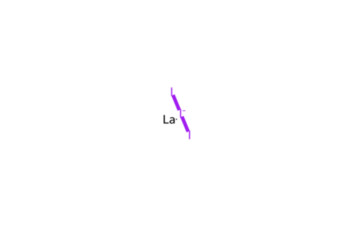 I[I-]I.[La]